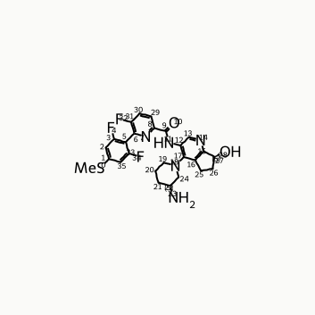 CSc1cc(F)c(-c2nc(C(=O)Nc3cnc4c(c3N3CCC[C@H](N)C3)CC[C@@H]4O)ccc2F)c(F)c1